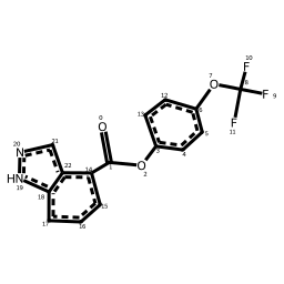 O=C(Oc1ccc(OC(F)(F)F)cc1)c1cccc2[nH]ncc12